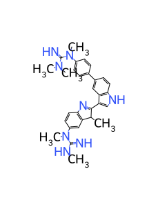 CNC(=N)N(C)c1ccc2c(c1)C(C)C(c1c[nH]c3ccc(-c4ccc(N(C)C(=N)N(C)C)cc4)cc13)=N2